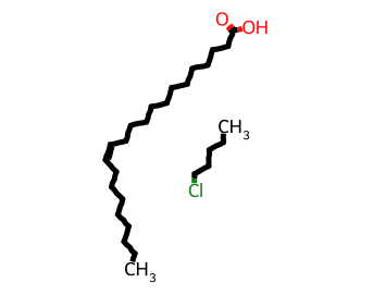 CCCCCCCC/C=C\CCCCCCCCCCCC(=O)O.CCCCCCl